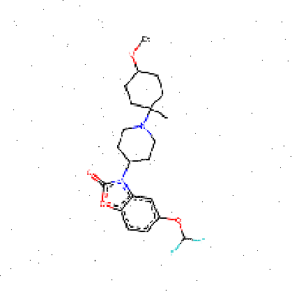 CCOC1CCC(C)(N2CCC(n3c(=O)oc4ccc(OC(F)F)cc43)CC2)CC1